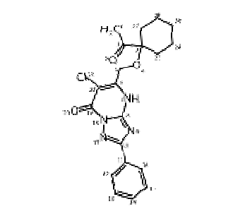 CC(=O)C1(OCc2[nH]c3nc(-c4ccccc4)nn3c(=O)c2Cl)CCCCC1